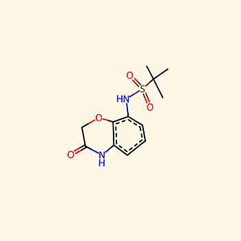 CC(C)(C)S(=O)(=O)Nc1cccc2c1OCC(=O)N2